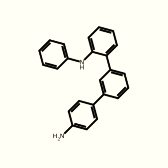 Nc1ccc(-c2cccc(-c3ccccc3Nc3ccccc3)c2)cc1